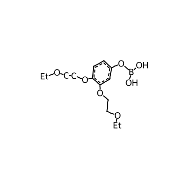 CCOCCOc1ccc(OB(O)O)cc1OCCOCC